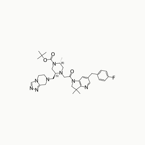 C[C@@H]1CN(CC(=O)N2CC(C)(C)c3ncc(Cc4ccc(F)cc4)cc32)[C@@H](CN2CCn3cnnc3C2)CN1C(=O)OC(C)(C)C